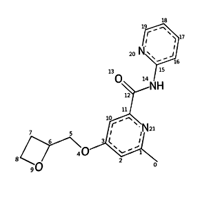 Cc1cc(OCC2CCO2)cc(C(=O)Nc2ccccn2)n1